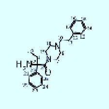 [CH2]CC(N)(C(=O)N1CCN(CCc2ccccc2)CC1)c1ccccc1